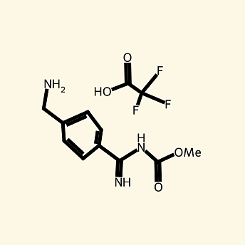 COC(=O)NC(=N)c1ccc(CN)cc1.O=C(O)C(F)(F)F